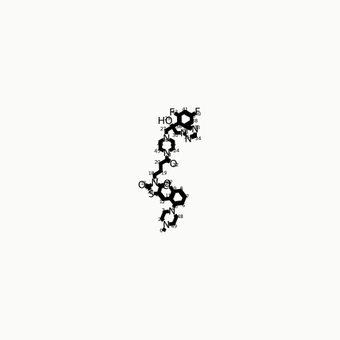 CN1CCN(c2cccc(Cl)c2C=C2SC(=O)N(CCCC(=O)N3CCN(CC(O)(Cn4cncn4)c4ccc(F)cc4F)CC3)C2=O)CC1